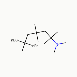 CCCCC(C)(CCC)CC(C)(C)CC(C)(C)N(C)C